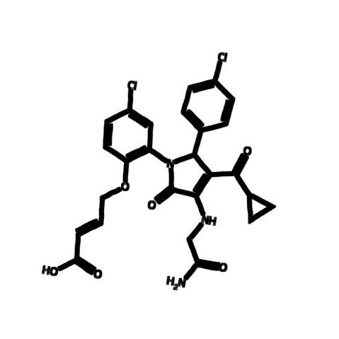 NC(=O)CNC1=C(C(=O)C2CC2)C(c2ccc(Cl)cc2)N(c2cc(Cl)ccc2OCC=CC(=O)O)C1=O